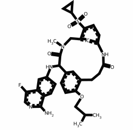 CC(C)COc1ccc2cc1CCC(=O)Nc1ccc(S(=O)(=O)C3CC3)c(c1)CN(C)C(=O)C2Nc1ccc2c(N)ncc(F)c2c1